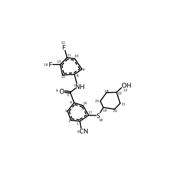 N#Cc1ccc(C(=O)Nc2ccc(F)c(F)c2)cc1SC1CCC(O)CC1